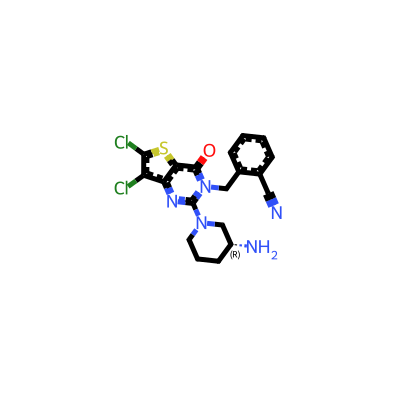 N#Cc1ccccc1Cn1c(N2CCC[C@@H](N)C2)nc2c(Cl)c(Cl)sc2c1=O